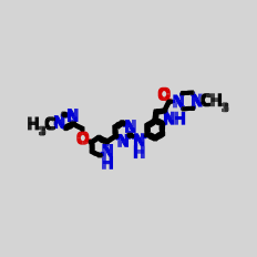 CN1CCN(C(=O)c2cc3cc(Nc4nccc(C5=CC(OCc6cn(C)cn6)=CCN5)n4)ccc3[nH]2)CC1